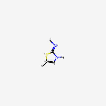 C/N=c1\sc(C)cn1C